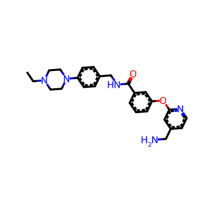 CCN1CCN(c2ccc(CNC(=O)c3cccc(Oc4cc(CN)ccn4)c3)cc2)CC1